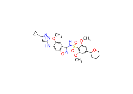 COc1cc2c(NS(=O)(=O)c3c(OC)cc(C4CCCCO4)cc3OC)noc2cc1Nc1cc(C2CC2)n[nH]1